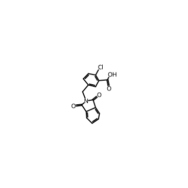 O=C(O)c1cc(CN2C(=O)c3ccccc3C2=O)ccc1Cl